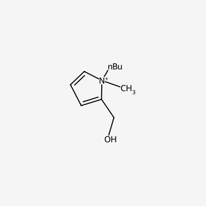 CCCC[N+]1(C)C=CC=C1CO